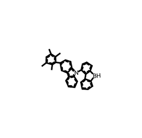 Cc1cc(C)c(C)c(-c2ccc3c(c2)c2ccccc2n3-c2cccc3c2-c2ccccc2B3)c1C